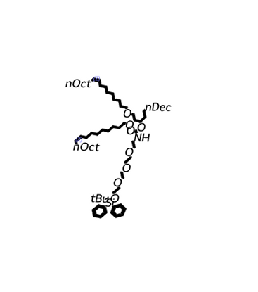 CCCCCCCC/C=C\CCCCCCCCOCC(OCCCCCCCC/C=C\CCCCCCCC)C(CCCCCCCCCCCC)OC(=O)NCCOCCOCCOCCO[Si](c1ccccc1)(c1ccccc1)C(C)(C)C